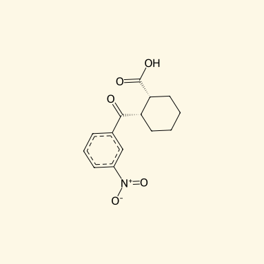 O=C(c1cccc([N+](=O)[O-])c1)[C@H]1CCCC[C@H]1C(=O)O